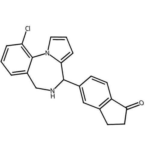 O=C1CCc2cc(C3NCc4cccc(Cl)c4-n4cccc43)ccc21